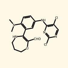 CN(C)c1ccc(Nc2nc(Cl)ncc2Cl)cc1C1=C(C=O)OCCCN1